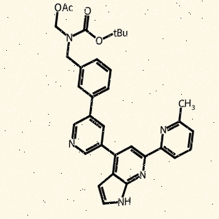 CC(=O)OCN(Cc1cccc(-c2cncc(-c3cc(-c4cccc(C)n4)nc4[nH]ccc34)c2)c1)C(=O)OC(C)(C)C